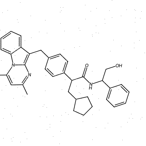 Cc1cc(C)n2c(n1)c(Cc1ccc(C(CC3CCCC3)C(=O)NC(CO)c3ccccc3)cc1)c1ccccc12